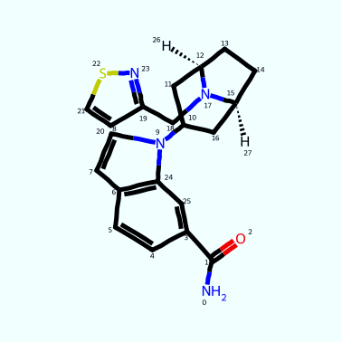 NC(=O)c1ccc2ccn(C3C[C@H]4CC[C@@H](C3)N4Cc3ccsn3)c2c1